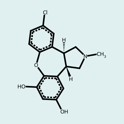 CN1C[C@@H]2c3cc(Cl)ccc3Oc3c(O)cc(O)cc3[C@H]2C1